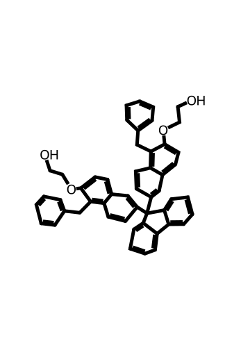 OCCOc1ccc2cc(C3(c4ccc5c(Cc6ccccc6)c(OCCO)ccc5c4)c4ccccc4-c4ccccc43)ccc2c1Cc1ccccc1